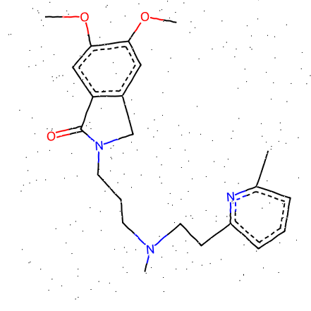 COc1cc2c(cc1OC)C(=O)N(CCCN(C)CCc1cccc(C)n1)C2